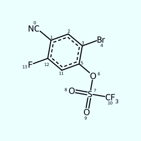 N#Cc1cc(Br)c(OS(=O)(=O)C(F)(F)F)cc1F